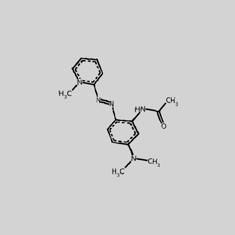 CC(=O)Nc1cc(N(C)C)ccc1N=Nc1cccc[n+]1C